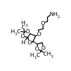 CC1(C)OCC([C@H]2O[C@@H]3OC(C)(C)OC3C2OCCOCCN)O1